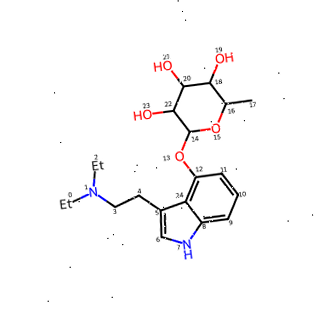 CCN(CC)CCc1c[nH]c2cccc(OC3OC(C)C(O)C(O)C3O)c12